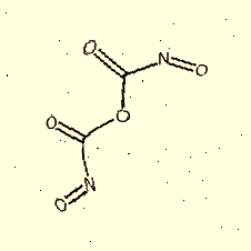 O=NC(=O)OC(=O)N=O